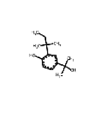 CCC(C)(C)c1cc(C(C)(C)C)ccc1O